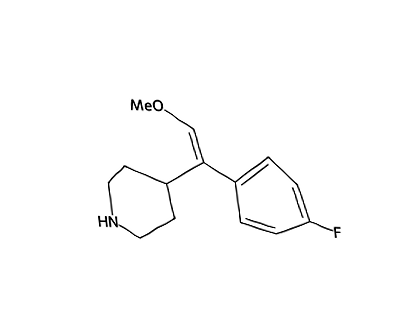 COC=C(c1ccc(F)cc1)C1CCNCC1